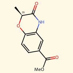 COC(=O)c1ccc2c(c1)NC(=O)[C@H](C)O2